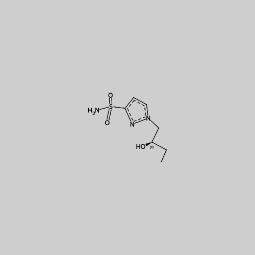 CC[C@@H](O)Cn1ccc(S(N)(=O)=O)n1